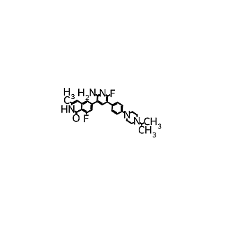 Cc1cc2cc(-c3cc(-c4ccc(N5CCN(C(C)C)CC5)cc4)c(F)nc3N)cc(F)c2c(=O)[nH]1